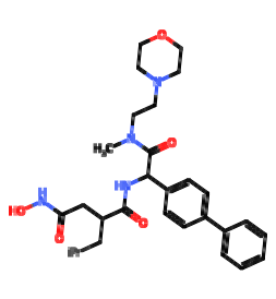 CC(C)CC(CC(=O)NO)C(=O)NC(C(=O)N(C)CCN1CCOCC1)c1ccc(-c2ccccc2)cc1